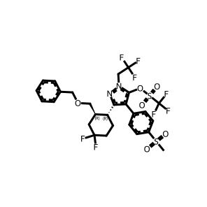 CS(=O)(=O)c1ccc(-c2c([C@@H]3CCC(F)(F)C[C@H]3COCc3ccccc3)nn(CC(F)(F)F)c2OS(=O)(=O)C(F)(F)F)cc1